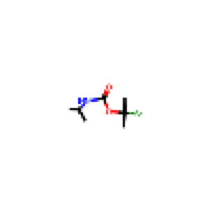 CC(C)NC(=O)OC(C)(C)Br